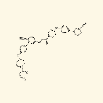 C=CC(=O)N1CCC(Oc2ccc(-c3cc(/C=C/C(=O)N4CCC(Oc5ccc(-c6cccc(C#N)c6)cc5)CC4)ccc3C#N)cc2)CC1